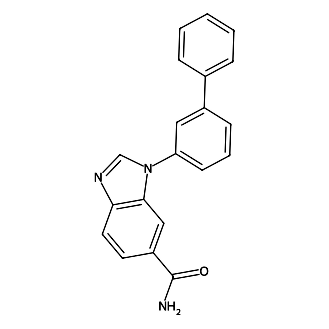 NC(=O)c1ccc2ncn(-c3cccc(-c4ccccc4)c3)c2c1